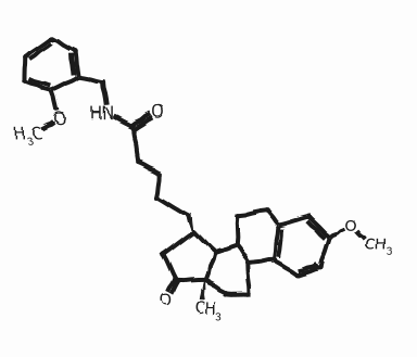 COc1ccc2c(c1)CCC1C2CC[C@]2(C)C(=O)C[C@@H](CCCCC(=O)NCc3ccccc3OC)C12